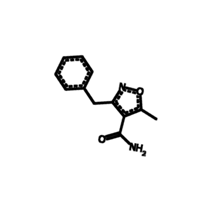 Cc1onc(Cc2ccccc2)c1C(N)=O